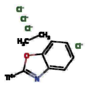 CC.[Cl-].[Cl-].[Cl-].[Cl-].[Ti+4][c]1nc2ccccc2o1